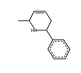 CC1C=[C]CC(c2ccccc2)N1